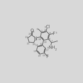 Cc1c(Cl)c(F)c(C(C)N)c(-c2cccc(F)c2)c1N1CCCC1=O